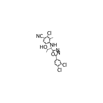 Cc1c(NC(c2nnc(-c3ccc(Cl)c(Cl)c3)o2)C(C)O)ccc(C#N)c1Cl